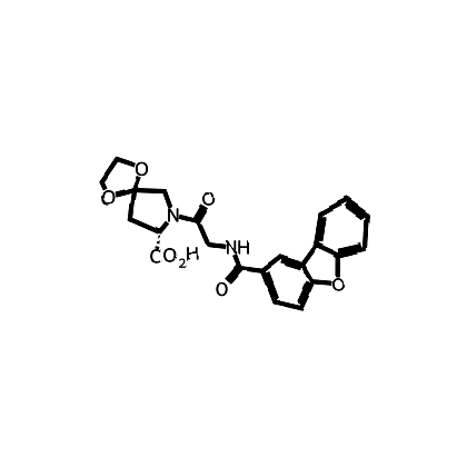 O=C(NCC(=O)N1CC2(C[C@H]1C(=O)O)OCCO2)c1ccc2oc3ccccc3c2c1